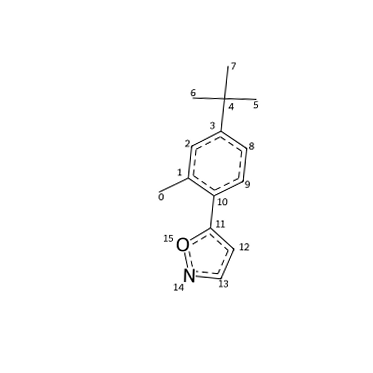 Cc1cc(C(C)(C)C)ccc1-c1ccno1